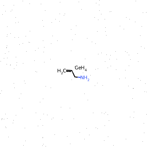 C=CCN.[GeH4]